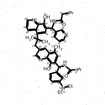 CCCC(=O)NC(c1cccc(N(CC)CC)c1)c1cc(C)c2cc(CC(C)(C)c3cc(C(NC(=O)CC(C)C)c4cccnc4)c(O)c4ncccc34)cnc2c1O